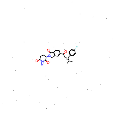 CC(C)[C@H](CC(=O)c1ccc2c(c1)CN(C1CCC(=O)NC1=O)C2=O)c1ccc(F)cc1